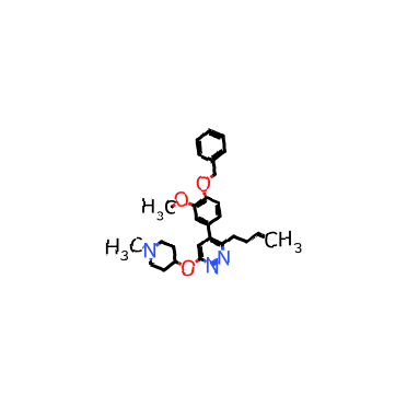 CCCCc1nnc(OC2CCN(C)CC2)cc1-c1ccc(OCc2ccccc2)c(OC)c1